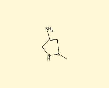 CN1C=C(N)CN1